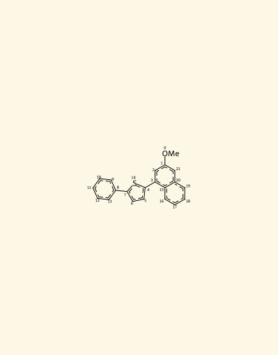 COc1cc(-c2ccc(-c3ccccc3)s2)c2ccccc2c1